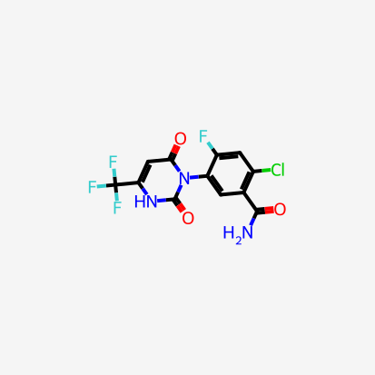 NC(=O)c1cc(-n2c(=O)cc(C(F)(F)F)[nH]c2=O)c(F)cc1Cl